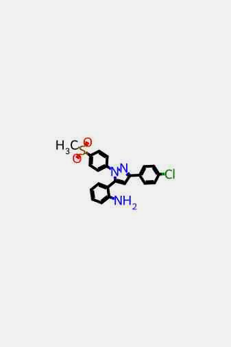 CS(=O)(=O)c1ccc(-n2nc(-c3ccc(Cl)cc3)cc2-c2ccccc2N)cc1